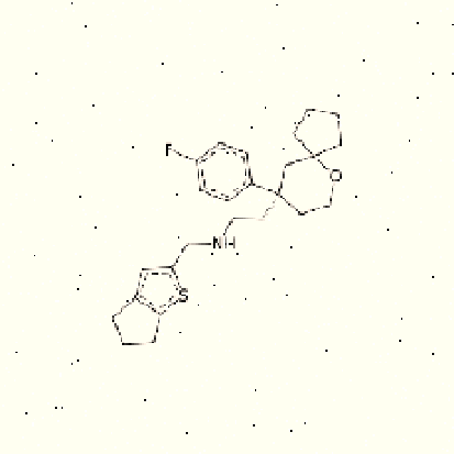 Fc1ccc([C@]2(CCNCc3cc4c(s3)CCC4)CCOC3(CCCC3)C2)cc1